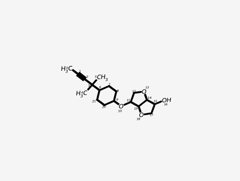 CC#CC(C)(C)C1CCC(OC2COC3C(O)COC23)CC1